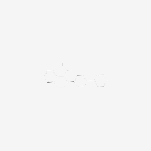 FC(F)C1c2ccccc2CCN1c1ccc(-c2ccccc2)cc1